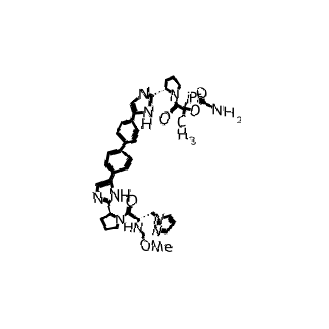 COCN[C@@H](Cn1cccn1)C(=O)N1CCC[C@H]1c1ncc(-c2ccc(-c3ccc(-c4cnc([C@@H]5CCCN5C(=O)[C@@](C)(OC(N)=O)C(C)C)[nH]4)cc3)cc2)[nH]1